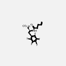 C=CCCC(=O)N[C@H](CC(=O)O)Cc1c(F)c(F)c(F)c(F)c1F